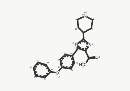 CC(=O)c1sc(C2CCNCC2)nc1-c1ccc(Oc2ccccc2)cc1